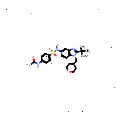 CCN(c1ccc2c(c1)nc(C(C)(C)OC)n2CC1CCOCC1)S(=O)(=O)c1ccc(NC(=O)C(C)(C)C)cc1